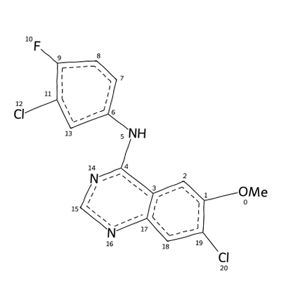 COc1cc2c(Nc3ccc(F)c(Cl)c3)ncnc2cc1Cl